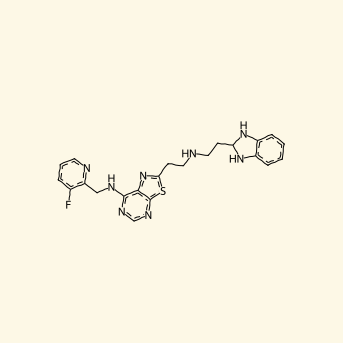 Fc1cccnc1CNc1ncnc2sc(CCNCCC3Nc4ccccc4N3)nc12